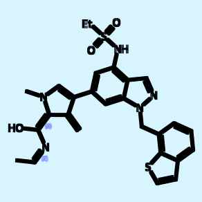 C=c1c(-c2cc(NS(=O)(=O)CC)c3cnn(Cc4cccc5ccsc45)c3c2)cn(C)/c1=C(O)/N=C\C